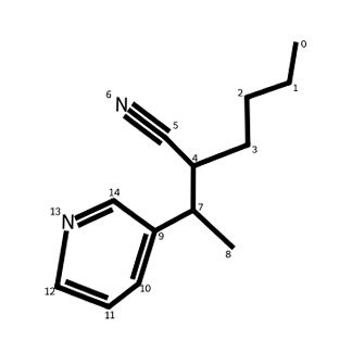 CCCCC(C#N)C(C)c1cccnc1